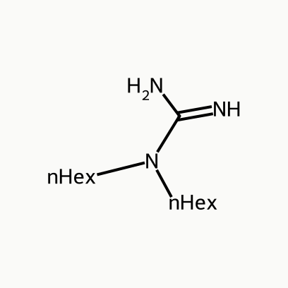 CCCCCCN(CCCCCC)C(=N)N